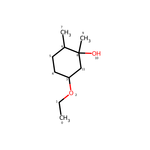 CCOC1CCC(C)C(C)(O)C1